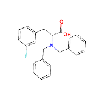 O=C(O)C(Cc1cccc(F)c1)N(Cc1ccccc1)Cc1ccccc1